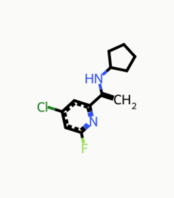 C=C(NC1CCCC1)c1cc(Cl)cc(F)n1